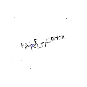 CCCCCCC1CCC(c2ccc(Cc3cc(F)c(/C=C/C(F)(F)F)c(F)c3)cc2)CC1